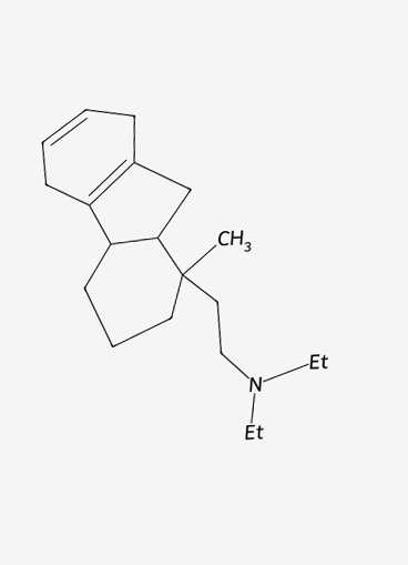 CCN(CC)CCC1(C)CCCC2C3=C(CC=CC3)CC21